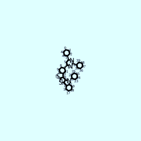 c1ccc(-c2cc(-c3ccc4sc5sc6c7ccccc7n(-c7ccccc7)c6c5c4c3)nc(-c3ccccc3)n2)cc1